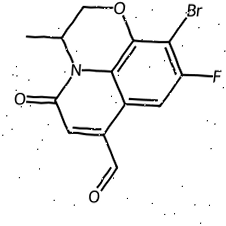 CC1COc2c(Br)c(F)cc3c(C=O)cc(=O)n1c23